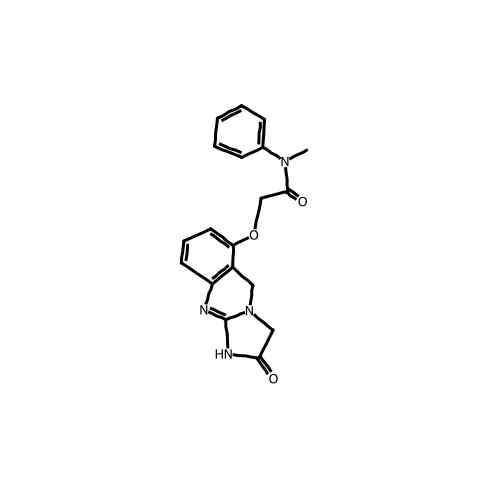 CN(C(=O)COc1cccc2c1CN1CC(=O)NC1=N2)c1ccccc1